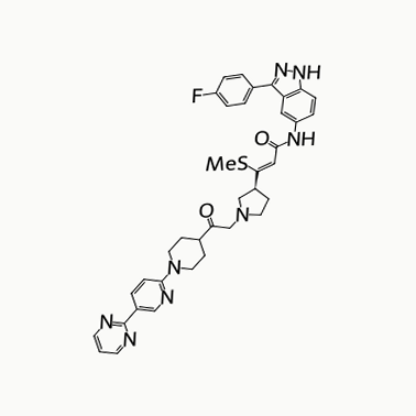 CS/C(=C\C(=O)Nc1ccc2[nH]nc(-c3ccc(F)cc3)c2c1)[C@H]1CCN(CC(=O)C2CCN(c3ccc(-c4ncccn4)cn3)CC2)C1